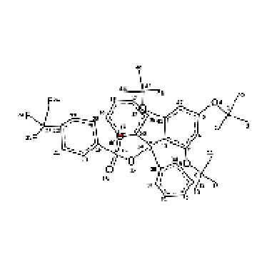 CC(C)(C)Oc1cc(OC(C)(C)C)c(S(OS(=O)(=O)c2ccc(C(F)(F)F)cc2)(c2ccccc2)c2ccccc2)c(OC(C)(C)C)c1